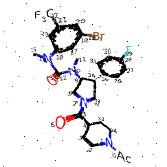 CC(=O)N1CCC(C(=O)N2C[C@@H](N(C)C(=O)N(C)c3cc(Br)cc(C(F)(F)F)c3)[C@H](c3ccc(F)cc3)C2)CC1